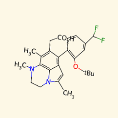 Cc1c(CC(=O)O)c(-c2ccc(C(F)F)cc2OC(C)(C)C)c2cc(C)n3c2c1N(C)CC3